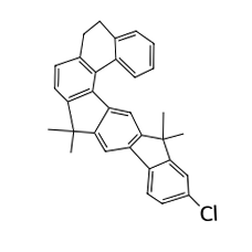 CC1(C)c2cc(Cl)ccc2-c2cc3c(cc21)-c1c(ccc2c1-c1ccccc1CC2)C3(C)C